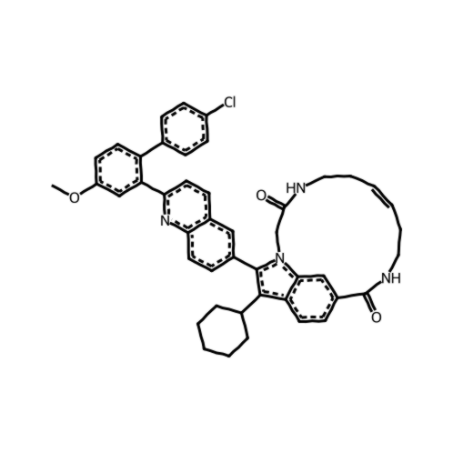 COc1ccc(-c2ccc(Cl)cc2)c(-c2ccc3cc(-c4c(C5CCCCC5)c5ccc6cc5n4CC(=O)NCCC=CCCNC6=O)ccc3n2)c1